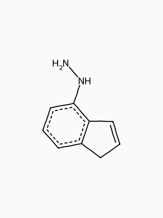 NNc1cccc2c1C=CC2